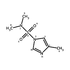 Cc1cn(S(=O)(=O)N(C)C)cn1